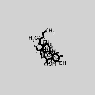 CCC[C@@H](C)[C@H]1CC[C@H]2[C@@H]3CC(=O)[C@@]4(O)C[C@@H](O)CC[C@]4(C)[C@H]3CC[C@]12C